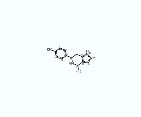 CCC1NC(c2ccc(Cl)cc2)Cc2[nH]ncc21